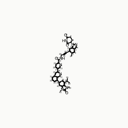 Cc1cc2cnn(C3CCC(=O)NC3=O)c2cc1C#CCNC(=O)c1ccc(-c2cc3cccc(-c4cc(C(C)C)c5c(c4)n(C)c(=O)n5C)c3cn2)cn1